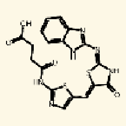 O=C(O)CCC(=O)Nc1ncc(C=C2SC(=Nc3nc4ccccc4[nH]3)NC2=O)s1